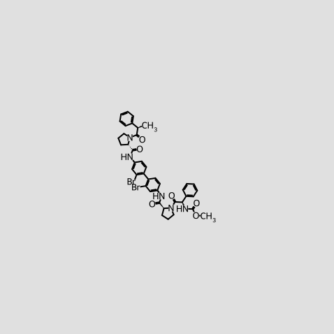 COC(=O)N[C@@H](C(=O)N1CCC[C@H]1C(=O)Nc1ccc(-c2ccc(NC(=O)[C@@H]3CCCN3C(=O)[C@H](C)c3ccccc3)cc2Br)c(Br)c1)c1ccccc1